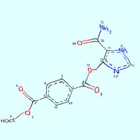 CCCCCCCCOC(=O)c1ccc(C(=O)Oc2nc[nH]c2C(N)=O)cc1